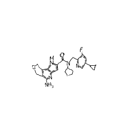 Nc1nc2cc(C(=O)N(Cc3ncc(C4CC4)cc3F)C3CCCC3)[nH]c2c2c1COC2